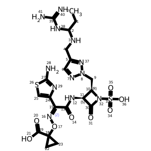 CCC(NCc1cnn(C[C@@H]2[C@H](NC(=O)/C(=N\OC3(C(=O)O)CC3)c3csc(N)n3)C(=O)N2S(=O)(=O)O)n1)NC(=N)N